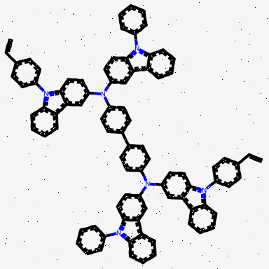 C=Cc1ccc(-n2c3ccccc3c3cc(N(c4ccc(-c5ccc(N(c6ccc7c(c6)c6ccccc6n7-c6ccccc6)c6ccc7c(c6)c6ccccc6n7-c6ccc(C=C)cc6)cc5)cc4)c4ccc5c(c4)c4ccccc4n5-c4ccccc4)ccc32)cc1